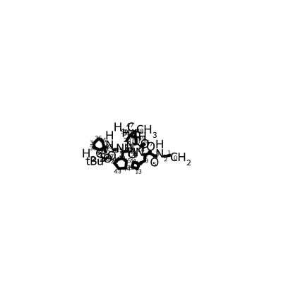 C=CCNC(=O)C(=O)C(CC1CCC1)NC(=O)[C@@H]1[C@@H]2[C@H](CN1C(=O)[C@@H](NC(=O)NC1(CS(=C)(=O)C(C)(C)C)CCCCC1)C1CCCCC1)C2(C)C